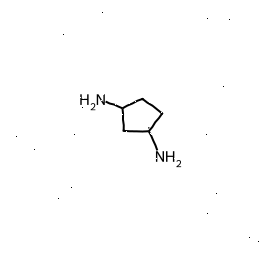 N[C]1CCC(N)C1